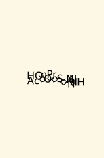 CCCc1c(OCc2ccc(Sc3cccc(-c4nn[nH]n4)c3)cc2)ccc(C(C)=O)c1O